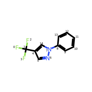 FC(F)(F)c1cnn(-c2ccccc2)c1